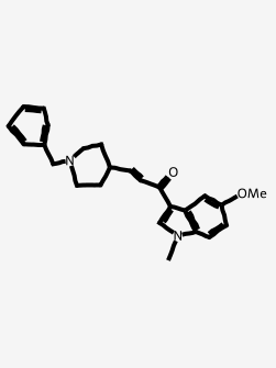 COc1ccc2c(c1)c(C(=O)C=CC1CCN(Cc3ccccc3)CC1)cn2C